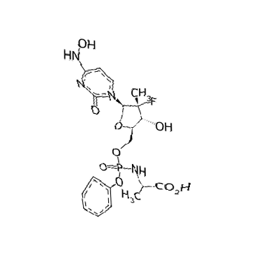 CC(NP(=O)(OC[C@H]1O[C@@H](n2ccc(NO)nc2=O)[C@](C)(F)[C@@H]1O)Oc1ccccc1)C(=O)O